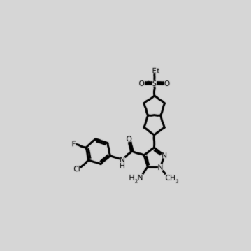 CCS(=O)(=O)C1CC2CC(c3nn(C)c(N)c3C(=O)Nc3ccc(F)c(Cl)c3)CC2C1